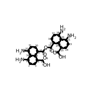 Nc1ccc(C(=O)O)c2c(C(=O)OC(=O)c3ccc(N)c4c(N)ccc(C(=O)O)c34)ccc(N)c12